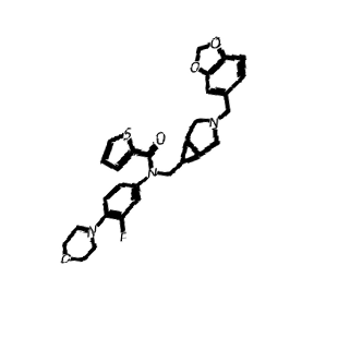 O=C(c1cccs1)N(CC1C2CN(Cc3ccc4c(c3)OCO4)CC21)c1ccc(N2CCOCC2)c(F)c1